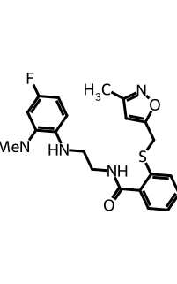 CNc1cc(F)ccc1NCCNC(=O)c1ccccc1SCc1cc(C)no1